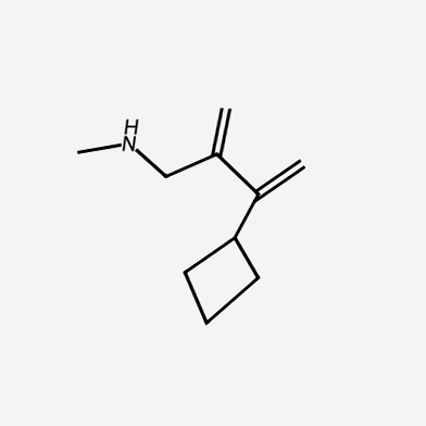 C=C(CNC)C(=C)C1CCC1